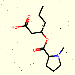 CCCC(CC(=O)O)OC(=O)C1CCCN1C